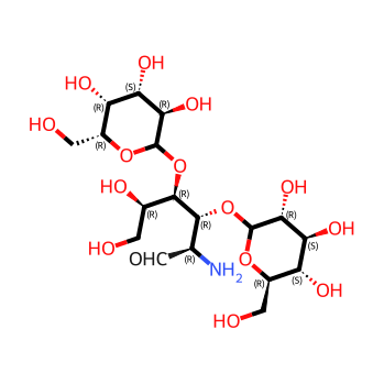 N[C@@H](C=O)[C@@H](OC1O[C@H](CO)[C@@H](O)[C@H](O)[C@H]1O)[C@H](OC1O[C@H](CO)[C@H](O)[C@H](O)[C@H]1O)[C@H](O)CO